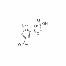 O=C([O-])c1cccc(C(=O)OS(=O)(=O)O)c1.[Na+]